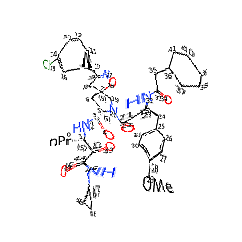 CCC[C@H](NC(=O)[C@@H]1C[C@]2(CC(c3cccc(Cl)c3)=NO2)CN1C(=O)[C@H](Cc1ccc(OC)cc1)NC(=O)CC1CCCCC1)C(=O)C(=O)NC1CC1